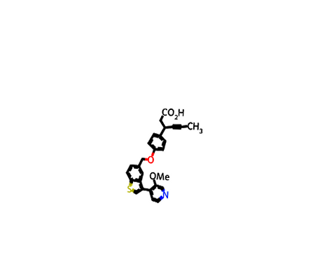 CC#CC(CC(=O)O)c1ccc(OCc2ccc3scc(-c4ccncc4OC)c3c2)cc1